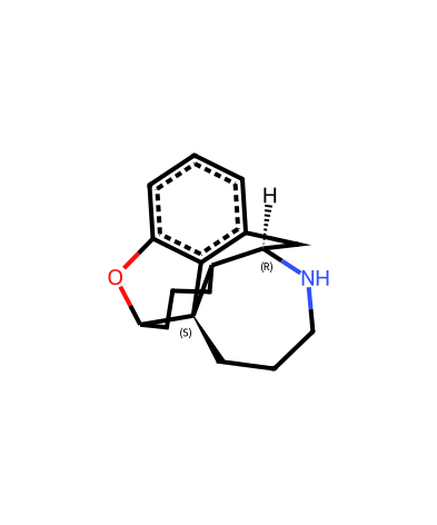 c1cc2c3c(c1)OC1CCCC4[C@@H](C2)NCCC[C@]314